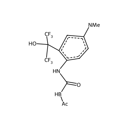 CNc1ccc(NC(=O)BC(C)=O)c(C(O)(C(F)(F)F)C(F)(F)F)c1